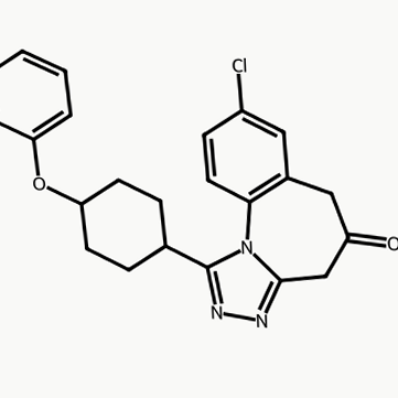 O=C1Cc2cc(Cl)ccc2-n2c(nnc2C2CCC(Oc3ccccn3)CC2)C1